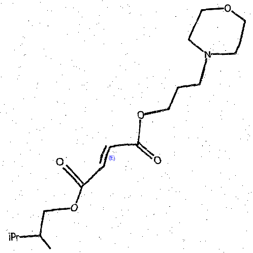 CC(C)C(C)COC(=O)/C=C/C(=O)OCCCN1CCOCC1